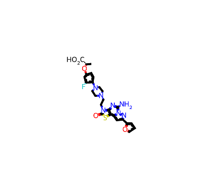 C[C@H](Oc1ccc(N2CCN(CCn3c(=O)sc4c3nc(N)n3nc(-c5ccco5)cc43)CC2)c(F)c1)C(=O)O